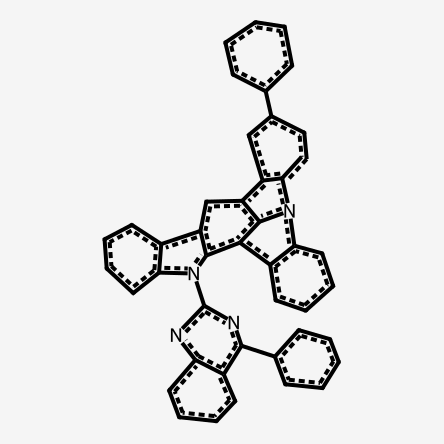 c1ccc(-c2ccc3c(c2)c2cc4c5ccccc5n(-c5nc(-c6ccccc6)c6ccccc6n5)c4c4c5ccccc5n3c24)cc1